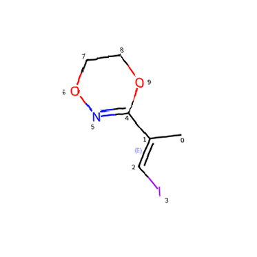 C/C(=C\I)C1=NOCCO1